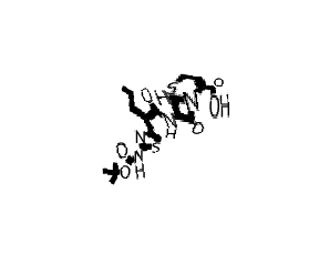 CC/C=C(\C(=O)N[C@@H]1C(=O)N2C(C(=O)O)=CCS[C@@H]12)c1csc(NC(=O)OC(C)(C)C)n1